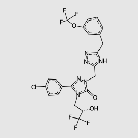 O=c1n(Cc2nnc(Cc3cccc(OC(F)(F)F)c3)[nH]2)nc(-c2ccc(Cl)cc2)n1C[C@H](O)C(F)(F)F